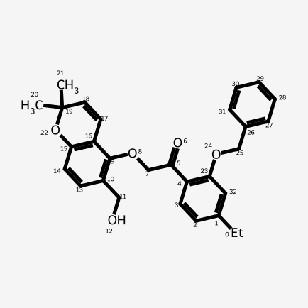 CCc1ccc(C(=O)COc2c(CO)ccc3c2C=CC(C)(C)O3)c(OCc2ccccc2)c1